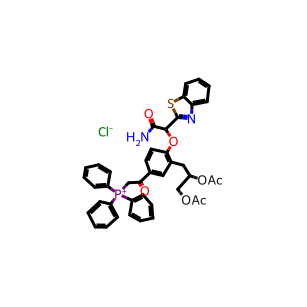 CC(=O)OCC(Cc1cc(C(=O)C[P+](c2ccccc2)(c2ccccc2)c2ccccc2)ccc1OC(C(N)=O)c1nc2ccccc2s1)OC(C)=O.[Cl-]